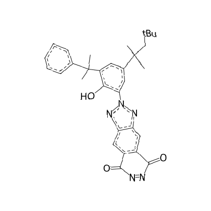 CC(C)(C)CC(C)(C)c1cc(-n2nc3cc4c(cc3n2)C(=O)N=NC4=O)c(O)c(C(C)(C)c2ccccc2)c1